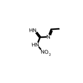 CC=NC(=N)N[N+](=O)[O-]